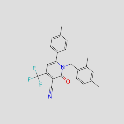 Cc1ccc(-c2cc(C(F)(F)F)c(C#N)c(=O)n2Cc2ccc(C)cc2C)cc1